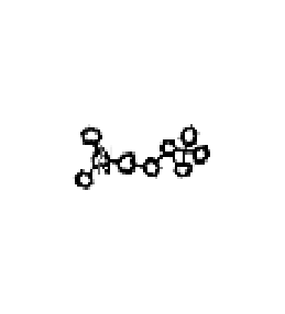 c1ccc(-c2cc(-c3ccccc3)nc(-c3ccc(-c4cccc(-c5cccc6c5-c5ccccc5C6(c5ccccc5)c5ccccc5)c4)cc3)n2)cc1